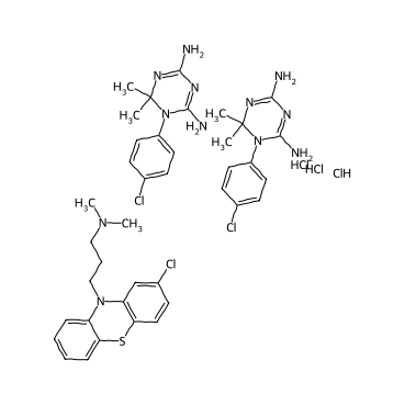 CC1(C)N=C(N)N=C(N)N1c1ccc(Cl)cc1.CC1(C)N=C(N)N=C(N)N1c1ccc(Cl)cc1.CN(C)CCCN1c2ccccc2Sc2ccc(Cl)cc21.Cl.Cl.Cl